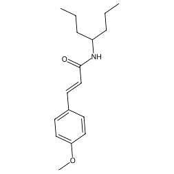 CCCC(CCC)NC(=O)C=Cc1ccc(OC)cc1